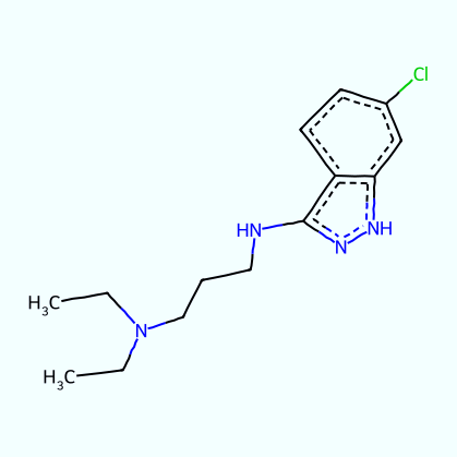 CCN(CC)CCCNc1n[nH]c2cc(Cl)ccc12